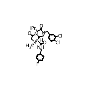 CC(C)[C@H]1C(=O)N(Cc2ccc(Cl)c(Cl)c2)C[C@H]2N1C(=O)CN(C)N2C(=O)NCc1ccc(F)cc1